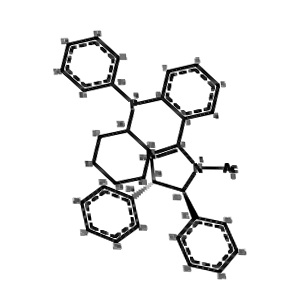 CC(=O)N1C(c2ccccc2P(c2ccccc2)C2CCCCC2)=N[C@@H](c2ccccc2)[C@@H]1c1ccccc1